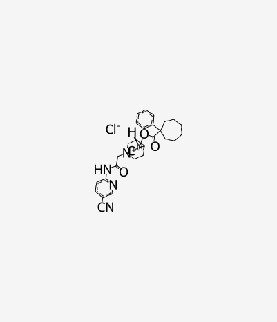 N#Cc1ccc(NC(=O)C[N+]23CCC(CC2)[C@@H](OC(=O)C2(c4ccccc4)CCCCCC2)C3)nc1.[Cl-]